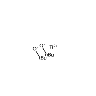 CC(C)(C)[O-].CCCC[O-].[Ti+2]